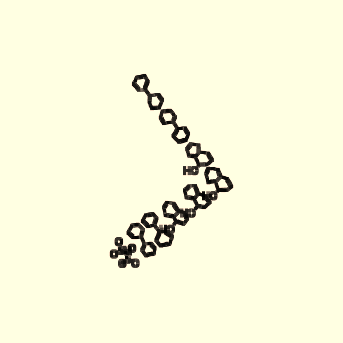 O=C([SH](=O)=O)[SH](=O)=O.Oc1cccc2ccccc12.Oc1cccc2ccccc12.Oc1cccc2ccccc12.Oc1cccc2ccccc12.c1ccc(-c2ccccc2)cc1.c1ccc(-c2ccccc2)cc1.c1ccc(-c2ccccc2)cc1.c1ccc(-c2ccccc2)cc1